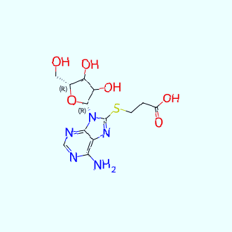 Nc1ncnc2c1nc(SCCC(=O)O)n2[C@@H]1O[C@H](CO)C(O)C1O